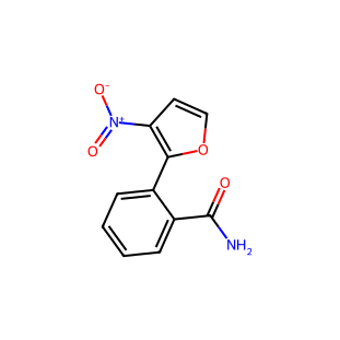 NC(=O)c1ccccc1-c1occc1[N+](=O)[O-]